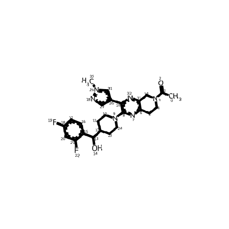 CC(=O)N1CCc2nc(N3CCC(C(O)c4ccc(F)cc4F)CC3)c(-c3cnn(C)c3)nc2C1